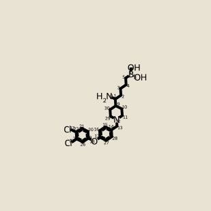 NC(CCCCB(O)O)C1CCN(Cc2ccc(Oc3ccc(Cl)c(Cl)c3)cc2)CC1